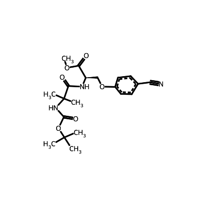 COC(=O)[C@@H](COc1ccc(C#N)cc1)NC(=O)C(C)(C)NC(=O)OC(C)(C)C